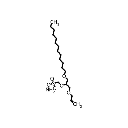 C=CCOCC(COCCCCCCCCCCCCC)OCS(=O)(=O)ON